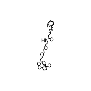 O=C(CCSSc1ccccn1)NCCOCCOCCC(=O)ON1C(=O)CCC1=O